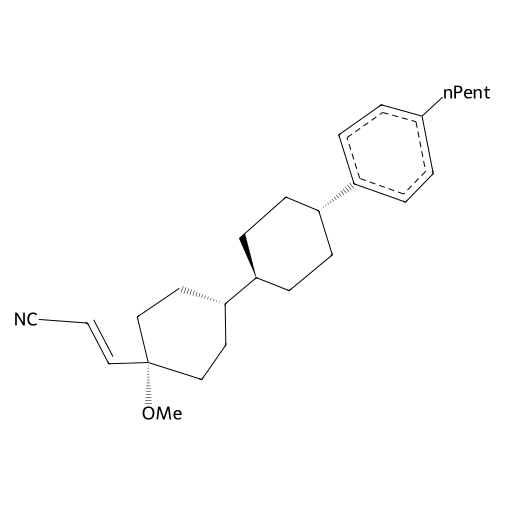 CCCCCc1ccc([C@H]2CC[C@H]([C@H]3CC[C@@](C=CC#N)(OC)CC3)CC2)cc1